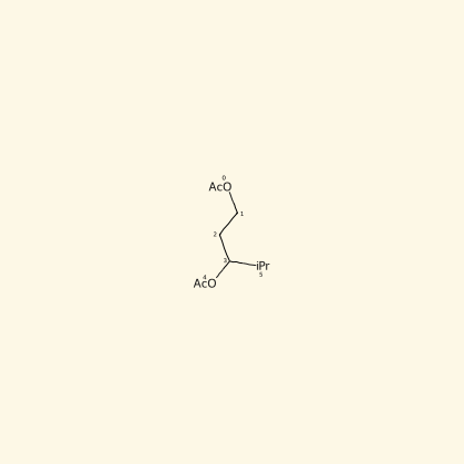 CC(=O)OCCC(OC(C)=O)C(C)C